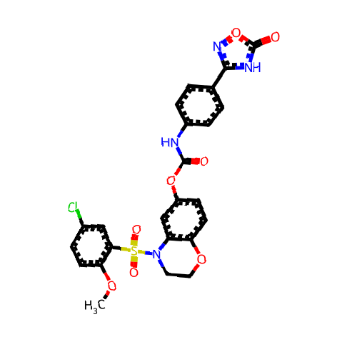 COc1ccc(Cl)cc1S(=O)(=O)N1CCOc2ccc(OC(=O)Nc3ccc(-c4noc(=O)[nH]4)cc3)cc21